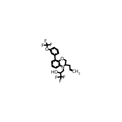 C=CCC1COc2c(-c3cccc(OC(F)(F)F)c3)cccc2N1CC(O)C(F)(F)F